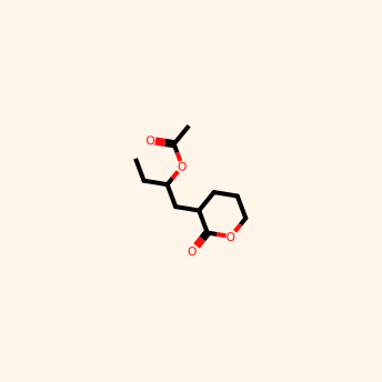 CCC(CC1CCCOC1=O)OC(C)=O